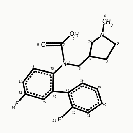 CN1CCC(CN(C(=O)O)c2ccc(F)cc2-c2ccccc2F)C1